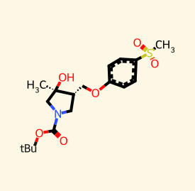 CC(C)(C)OC(=O)N1C[C@@H](COc2ccc(S(C)(=O)=O)cc2)[C@](C)(O)C1